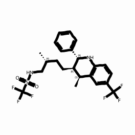 C[C@H](CC[C@@H]1[C@H](C)c2cc(C(F)(F)F)ccc2N[C@H]1c1ccccc1)CNS(=O)(=O)C(F)(F)F